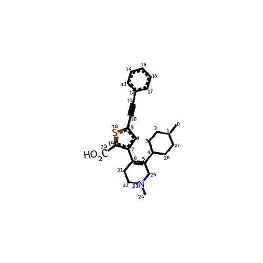 CC1CCC(C2=C(c3cc(C#Cc4ccccc4)sc3C(=O)O)CCN(C)C2)CC1